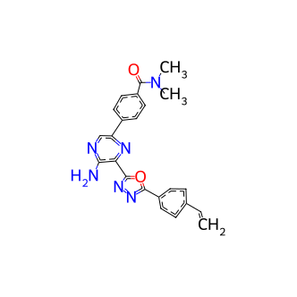 C=Cc1ccc(-c2nnc(-c3nc(-c4ccc(C(=O)N(C)C)cc4)cnc3N)o2)cc1